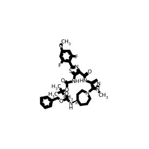 COc1cc(F)c(-c2nc(C(=O)Nc3cnn(C)c3N3CCC[C@@H](NC(=O)OCc4ccccc4)CC3)c(NC(=O)OC(C)(C)C)s2)c(F)c1